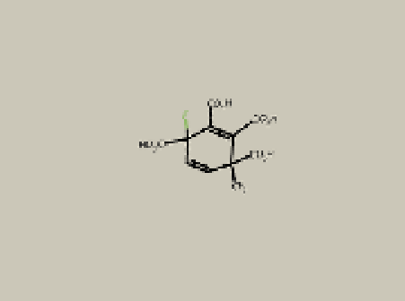 O=C(O)C1=C(C(=O)O)C(C(=O)O)(C(F)(F)F)C=CC1(F)C(=O)O